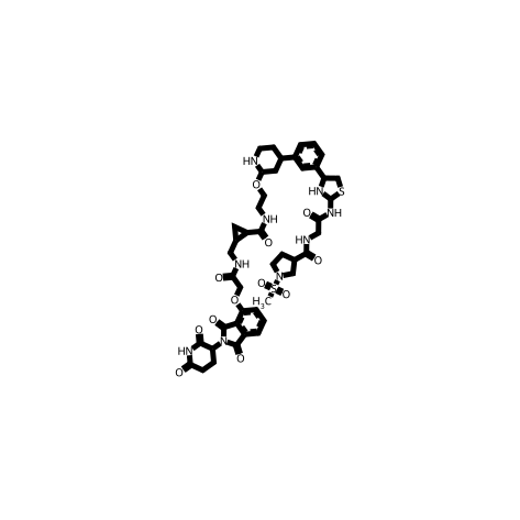 CS(=O)(=O)N1CCC(C(=O)NCC(=O)NC2NC(c3cccc(C4CCNC(OCCNC(=O)C5CC5CNC(=O)COc5cccc6c5C(=O)N(C5CCC(=O)NC5=O)C6=O)C4)c3)CS2)C1